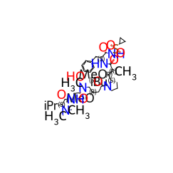 CC[C@H](C)C([C@@H](CC(=O)N1CCC[C@H]1[C@H](OC)[C@@H](C)C(=O)N[C@@H](Cc1ccc(O)cc1)C(=O)NS(=O)(=O)C1CC1)OC)N(C)C(=O)CNC(=O)[C@H](C(C)C)N(C)C